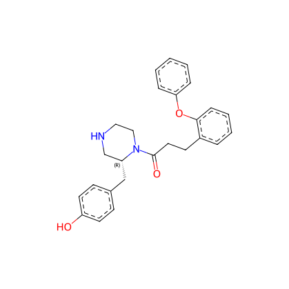 O=C(CCc1ccccc1Oc1ccccc1)N1CCNC[C@H]1Cc1ccc(O)cc1